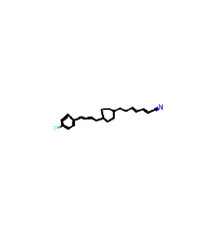 N#CC=CC=CCCC1CCC(CCCCc2ccc(F)cc2)CC1